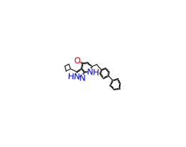 O=c1cc(Cc2ccc(-c3ccccc3)cc2)[nH]c2n[nH]c(C3CCC3)c12